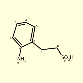 Nc1ccccc1CCS(=O)(=O)O